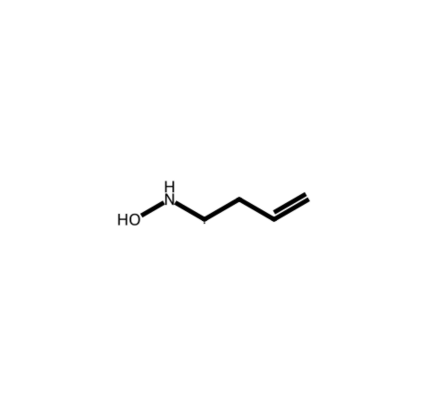 C=CC[CH]NO